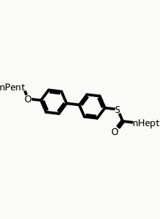 CCCCCCCC(=O)Sc1ccc(-c2ccc(OCCCCC)cc2)cc1